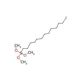 CO[Si](CCCCCCCCCCCCI)(OC)OC